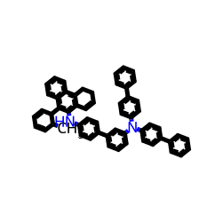 CC1C=CC=CC1c1c(Nc2ccc(-c3cccc(N(c4ccc(-c5ccccc5)cc4)c4ccc(-c5ccccc5)cc4)c3)cc2)c2c(c3ccccc13)CCC=C2